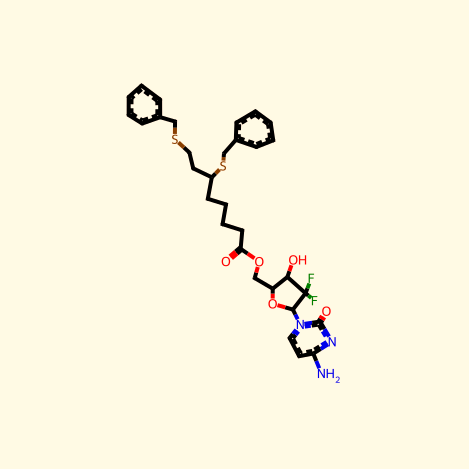 Nc1ccn(C2OC(COC(=O)CCCCC(CCSCc3ccccc3)SCc3ccccc3)C(O)C2(F)F)c(=O)n1